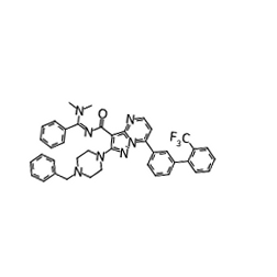 CN(C)C(=NC(=O)c1c(N2CCN(Cc3ccccc3)CC2)nn2c(-c3cccc(-c4ccccc4C(F)(F)F)c3)ccnc12)c1ccccc1